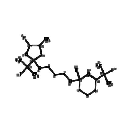 FC1OC(OCCCOC2(F)CCCC(C(F)(C(F)(F)F)C(F)(F)F)O2)(C(F)(C(F)(F)F)C(F)(F)F)CC1C(F)(F)F